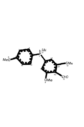 COc1ccc(Pc2cc(OC)c(C=O)c(OC)c2)cc1.[LiH]